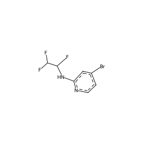 FC(F)C(F)Nc1cc(Br)ccn1